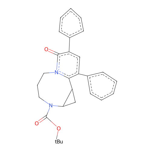 CC(C)(C)OC(=O)N1CCCn2c(c(-c3ccccc3)cc(-c3ccccc3)c2=O)C2CC21